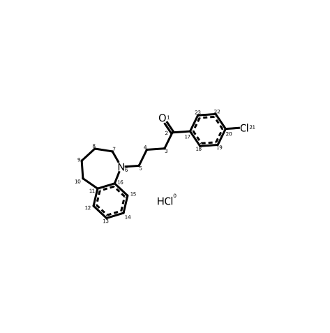 Cl.O=C(CCCN1CCCCc2ccccc21)c1ccc(Cl)cc1